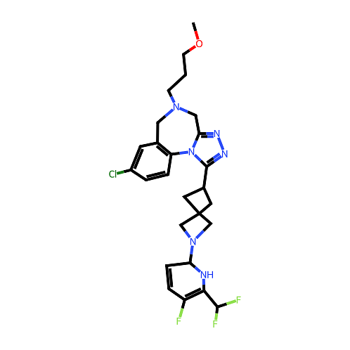 COCCCN1Cc2cc(Cl)ccc2-n2c(nnc2C2CC3(C2)CN(C2C=CC(F)=C(C(F)F)N2)C3)C1